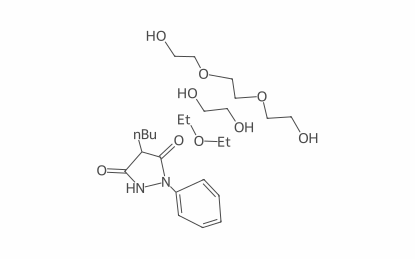 CCCCC1C(=O)NN(c2ccccc2)C1=O.CCOCC.OCCO.OCCOCCOCCO